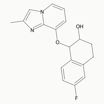 Cc1cn2cccc(OC3c4ccc(F)cc4CCC3O)c2n1